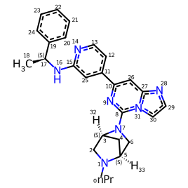 CCCN1C[C@@H]2C[C@H]1CN2c1nc(-c2ccnc(N[C@@H](C)c3ccccc3)c2)cc2nccn12